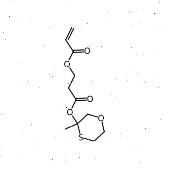 C=CC(=O)OCCC(=O)OC1(C)COCCS1